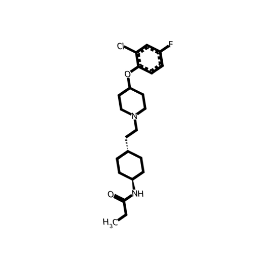 CCC(=O)N[C@H]1CC[C@H](CCN2CCC(Oc3ccc(F)cc3Cl)CC2)CC1